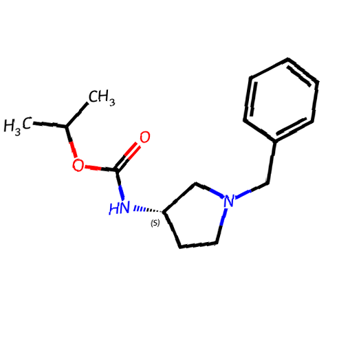 CC(C)OC(=O)N[C@H]1CCN(Cc2ccccc2)C1